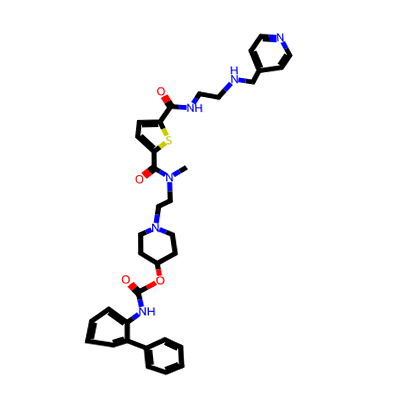 CN(CCN1CCC(OC(=O)Nc2ccccc2-c2ccccc2)CC1)C(=O)c1ccc(C(=O)NCCNCc2ccncc2)s1